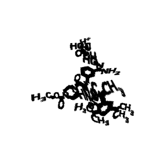 CCOC(=O)N1CCN(C(=O)[C@H](Cc2cccc(/C(N)=N\O)c2)NS(=O)(=O)c2c(C(C)C)cc(C(C)C)cc2C(C)C)CC1.O=S(=O)(O)O.[H+]